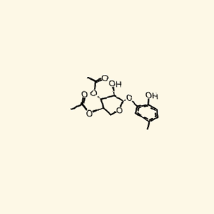 CC(=O)O[C@@H]1[C@@H](O)[C@H](Oc2cc(C)ccc2O)OC[C@H]1OC(C)=O